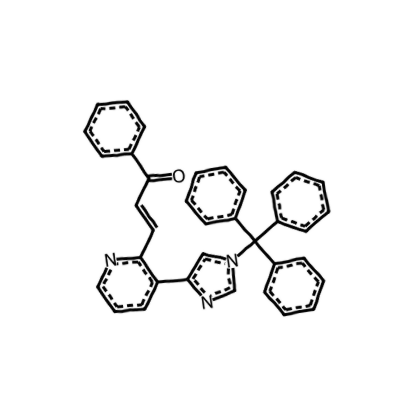 O=C(C=Cc1ncccc1-c1cn(C(c2ccccc2)(c2ccccc2)c2ccccc2)cn1)c1ccccc1